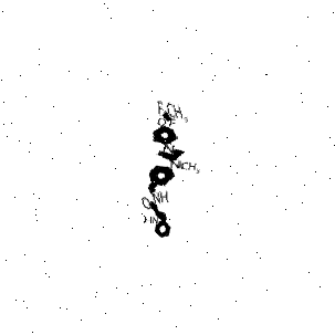 CN(c1ccc(CNC(=O)c2cc3c([nH]2)CCCC3)cc1)C1CN(c2ccc(OC(C)(F)F)cc2)C1